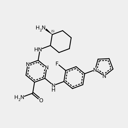 NC(=O)c1cnc(NC2CCCC[C@@H]2N)nc1Nc1ccc(-n2cccn2)cc1F